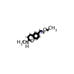 CCO/N=C/c1ccc2c(c1)CCC(NC)O2